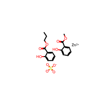 CCCOC(=O)c1ccccc1O.COC(=O)c1ccccc1O.O=S(=O)([O-])[O-].[Zn+2]